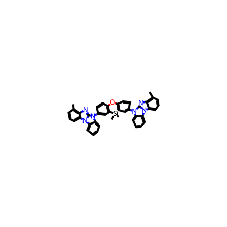 Cc1cccc2c1nc1n(-c3ccc4c(c3)[Si](C)(C)c3cc(-n5c6ccccc6n6c7cccc(C)c7nc56)ccc3O4)c3ccccc3n21